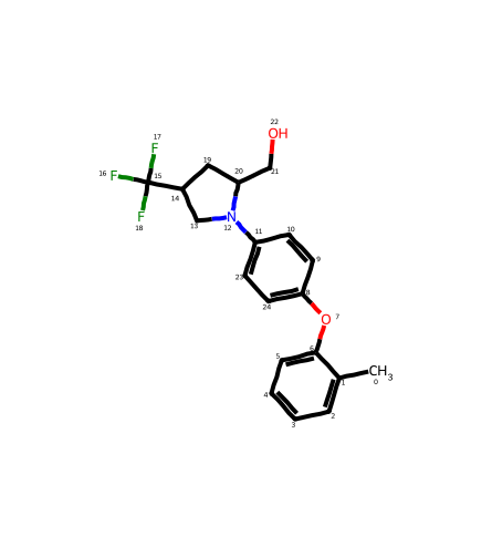 Cc1ccccc1Oc1ccc(N2CC(C(F)(F)F)CC2CO)cc1